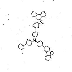 c1ccc(-c2ccc(N(c3ccc(-c4ccc5c(c4)sc4c6ccccc6c6ccccc6c54)cc3)c3ccc(-c4ccc5oc6ccccc6c5c4)cc3)cc2)cc1